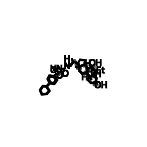 CC[C@H]1[C@@H](O)[C@@H]2[C@H](CC[C@]3(C)[C@@H]([C@H](C)CNC(=O)NS(=O)(=O)c4ccc(C5CCCCC5)cc4)CC[C@@H]23)[C@@]2(C)CC[C@@H](O)C[C@@H]12